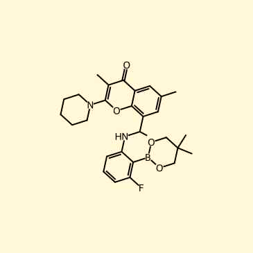 Cc1cc(C(C)Nc2cccc(F)c2B2OCC(C)(C)CO2)c2oc(N3CCCCC3)c(C)c(=O)c2c1